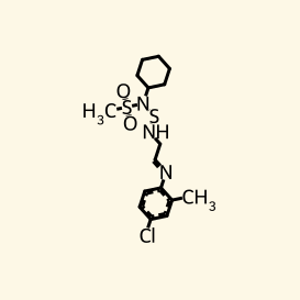 Cc1cc(Cl)ccc1N=CCNSN(C1CCCCC1)S(C)(=O)=O